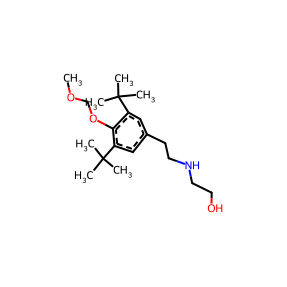 COCOc1c(C(C)(C)C)cc(CCNCCO)cc1C(C)(C)C